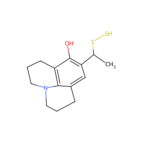 CC(SS)c1cc2c3c(c1O)CCCN3CCC2